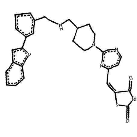 O=C1NC(=O)/C(=C\c2ccnc(N3CCC(CNCc4cccc(-c5cc6ccccc6o5)c4)CC3)n2)S1